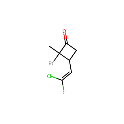 CCC1(C)C(=O)CC1C=C(Cl)Cl